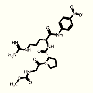 COC(=O)NCC(=O)N1CCC[C@H]1C(=O)N[C@@H](CCCNC(=N)N)C(=O)Nc1ccc([N+](=O)[O-])cc1